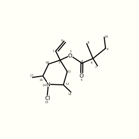 C=CC1(OC(=O)C(C)(C)CC)CC(C)N(Cl)C(C)C1